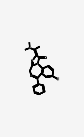 CC(=C1N=C2CN=C(c3ccccc3)c3cc(Cl)ccc3N2C1=O)N(C)C